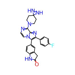 O=C1Cc2cc(-c3c(-c4ccc(F)cc4)nc4c(N5CCC6(CC5)NN6)nccn34)ccc2N1